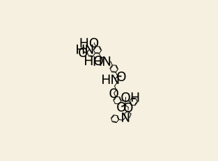 O=C(NCCCOC1=CCCC(C(O)(C(=O)O[C@H]2CCN(Cc3ccccc3)C2)c2ccccc2)=C1)c1ccc(CNC[C@H](O)c2ccc(O)c3[nH]c(=O)ccc23)cc1